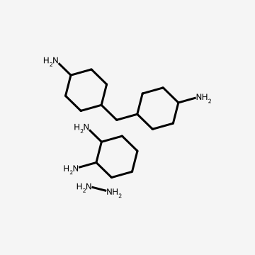 NC1CCC(CC2CCC(N)CC2)CC1.NC1CCCCC1N.NN